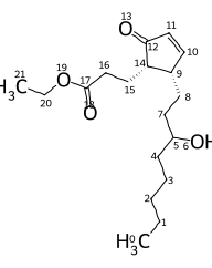 CCCCCC(O)CC[C@H]1C=CC(=O)[C@H]1CCC(=O)OCC